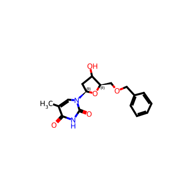 Cc1cn([C@H]2CC(O)[C@@H](COCc3ccccc3)O2)c(=O)[nH]c1=O